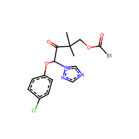 CCC(=O)OCC(C)(C)C(=O)C(Oc1ccc(Cl)cc1)n1cncn1